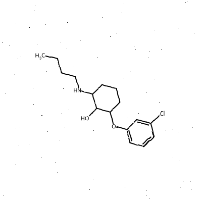 CCCCNC1CCCC(Oc2cccc(Cl)c2)C1O